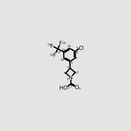 O=C(O)N1CC(c2cc(Cl)cc(C(F)(F)F)c2)C1